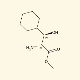 COC(=O)[C@H](N)[C@H](O)C1CCCCC1